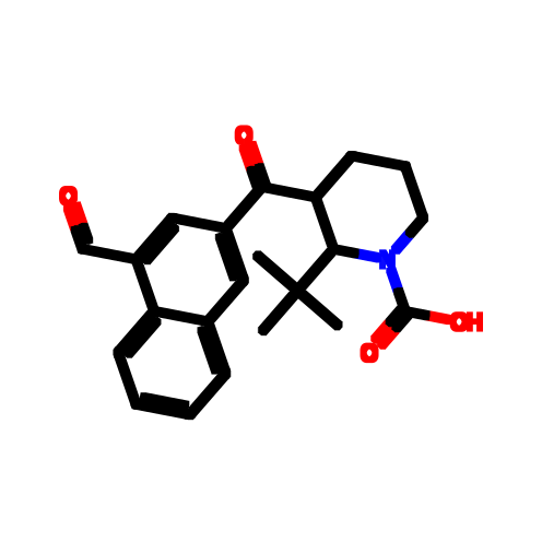 CC(C)(C)C1C(C(=O)c2cc(C=O)c3ccccc3c2)CCCN1C(=O)O